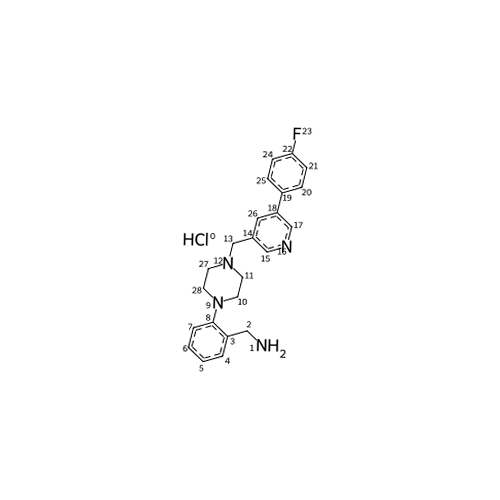 Cl.NCc1ccccc1N1CCN(Cc2cncc(-c3ccc(F)cc3)c2)CC1